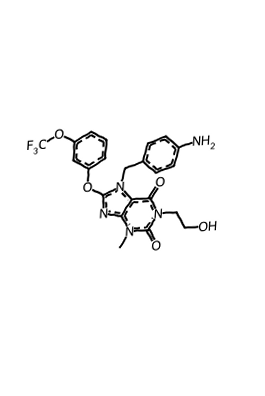 Cn1c(=O)n(CCO)c(=O)c2c1nc(Oc1cccc(OC(F)(F)F)c1)n2Cc1ccc(N)cc1